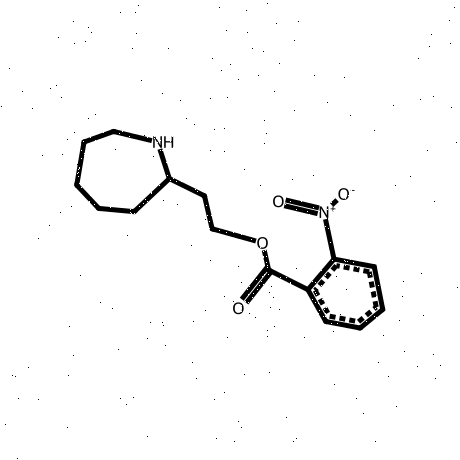 O=C(OCCC1CCCCCN1)c1ccccc1[N+](=O)[O-]